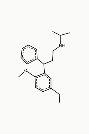 CCc1ccc(OC)c(C(CCNC(C)C)c2ccccc2)c1